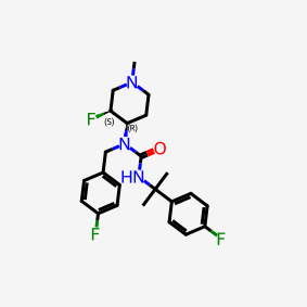 CN1CC[C@@H](N(Cc2ccc(F)cc2)C(=O)NC(C)(C)c2ccc(F)cc2)[C@@H](F)C1